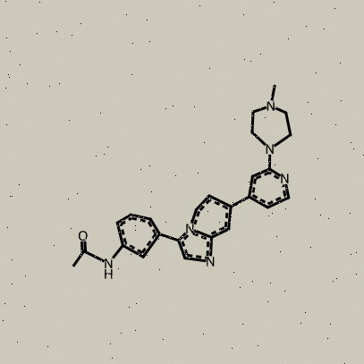 CC(=O)Nc1cccc(-c2cnc3cc(-c4ccnc(N5CCN(C)CC5)c4)ccn23)c1